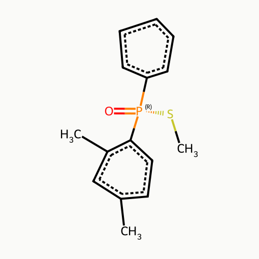 CS[P@](=O)(c1ccccc1)c1ccc(C)cc1C